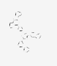 c1ccc2cc(-c3cc(-c4ccc(-c5nc6c7ccccc7sc6c6ccccc56)cc4)nc(-c4cccc5c4oc4ccccc45)n3)ccc2c1